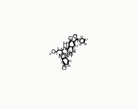 COCCC(Nc1ncnc2cc(C(=O)N3CC=CC3)c(Cl)cc12)c1nc2cc(Cl)ccc2[nH]1